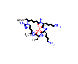 CCCCCCCCCCCCCCCC(=O)N[C@@H](CCCCN)C(=O)N[C@@H](CCCCN)C(=O)N[C@@H](CC(C)C)C(=O)N[C@@H](C)CCCNC(=N)N